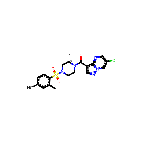 Cc1cc(C#N)ccc1S(=O)(=O)N1CCN(C(=O)c2cnn3cc(Cl)cnc23)[C@@H](C)C1